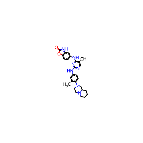 Cc1cc(Nc2ncc(C)c(Nc3ccc4oc(=O)[nH]c4c3)n2)ccc1N1CCN2CCCCC2C1